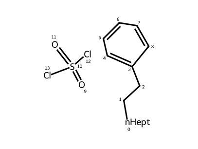 CCCCCCCCCc1ccccc1.O=S(=O)(Cl)Cl